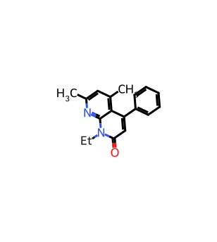 CCn1c(=O)cc(-c2ccccc2)c2c(C)cc(C)nc21